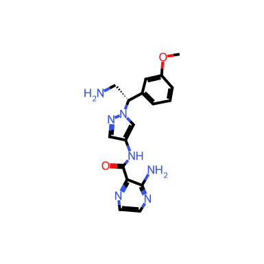 COc1cccc([C@@H](CN)n2cc(NC(=O)c3nccnc3N)cn2)c1